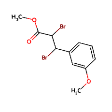 COC(=O)C(Br)C(Br)c1cccc(OC)c1